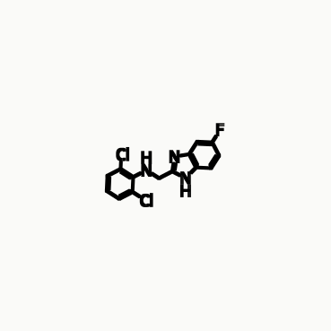 Fc1ccc2[nH]c(CNc3c(Cl)cccc3Cl)nc2c1